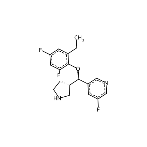 CCc1cc(F)cc(F)c1O[C@@H](c1cncc(F)c1)[C@H]1CCNC1